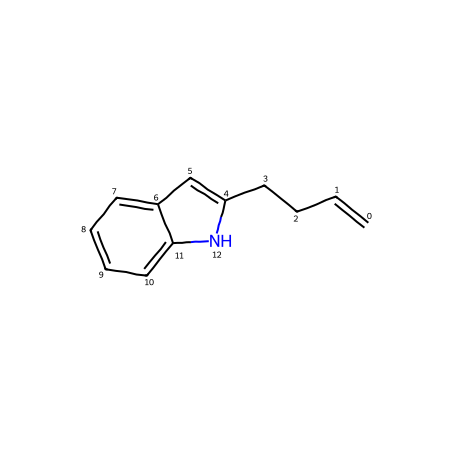 C=CCCc1cc2ccccc2[nH]1